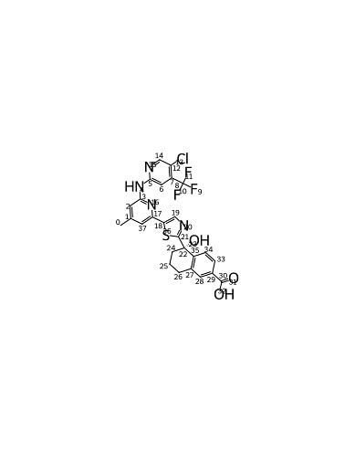 Cc1cc(Nc2cc(C(F)(F)F)c(Cl)cn2)nc(-c2cnc([C@]3(O)CCCc4cc(C(=O)O)ccc43)s2)c1